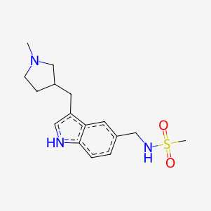 CN1CCC(Cc2c[nH]c3ccc(CNS(C)(=O)=O)cc23)C1